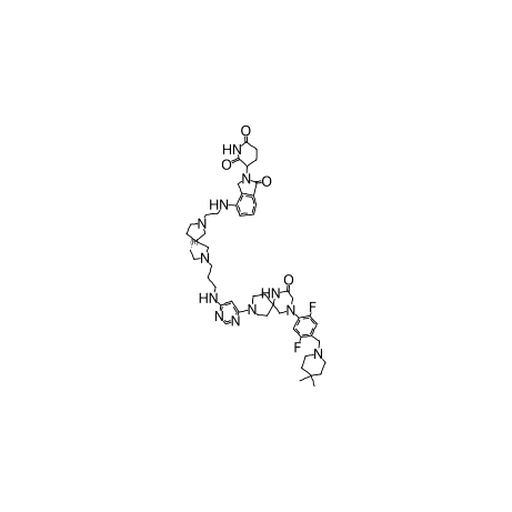 CC1(C)CCN(Cc2cc(F)c(N3CC(=O)NC4(CCN(c5cc(NCCCN6CC[C@@]7(CCN(CCNc8cccc9c8CN(C8CCC(=O)NC8=O)C9=O)C7)C6)ncn5)CC4)C3)cc2F)CC1